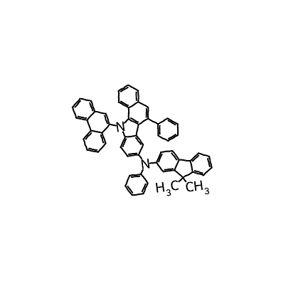 CC1(C)c2ccccc2-c2ccc(N(c3ccccc3)c3ccc4c(c3)c3c(-c5ccccc5)cc5ccccc5c3n4-c3cc4ccccc4c4ccccc34)cc21